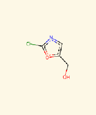 OCc1cnc(Cl)o1